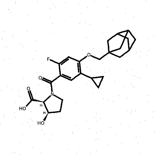 O=C(O)[C@@H]1[C@H](O)CCN1C(=O)c1cc(C2CC2)c(OCC23CC4CC(C2)C(C4)C3)cc1F